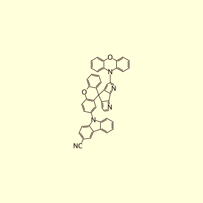 N#Cc1ccc2c(c1)c1ccccc1n2-c1ccc2c(c1)C1(c3ccccc3O2)c2cccnc2-c2ncc(N3c4ccccc4Oc4ccccc43)cc21